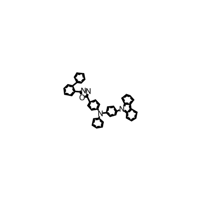 c1ccc(-c2ccccc2-c2nnc(-c3ccc(N(c4ccccc4)c4ccc(-n5c6ccccc6c6ccccc65)cc4)cc3)o2)cc1